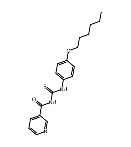 CCCCCCOc1ccc(NC(=S)NC(=O)c2cccnc2)cc1